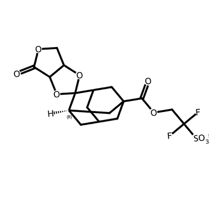 O=C1OCC2OC3(OC12)C1CC2C[C@@H]3CC(C(=O)OCC(F)(F)S(=O)(=O)O)(C2)C1